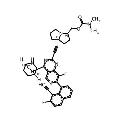 C#Cc1c(F)ccc2cccc(-c3ncc4c(N5C[C@H]6CC[C@@H]5CN6)nc(C#C[C@]56CCCN5[C@@H](COC(=O)N(C)C)CC6)nc4c3F)c12